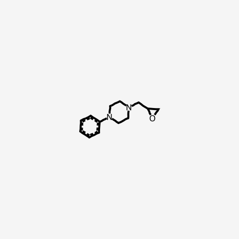 c1ccc(N2CCN(CC3CO3)CC2)cc1